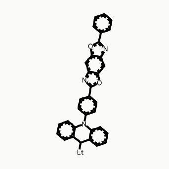 CCC1c2ccccc2N(c2ccc(-c3nc4cc5oc(-c6ccccc6)nc5cc4o3)cc2)c2ccccc21